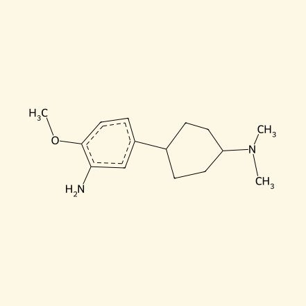 COc1ccc(C2CCC(N(C)C)CC2)cc1N